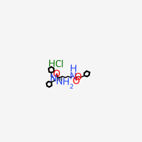 Cl.N[C@@H](CCCCNC(=O)OCc1ccccc1)C(=O)N(Cc1ccccc1)Cc1ccccc1